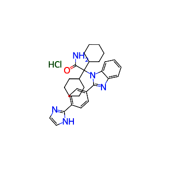 Cl.NC(=O)C(C1CCCCC1)(C1CCCCC1)n1c(-c2ccc(-c3ncc[nH]3)cc2)nc2ccccc21